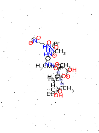 CCC(O)C(C)[C@H]1O[C@@H]1CC(C)/C=C/C=C(\C)[C@H]1OC(=O)C[C@H](O)CC[C@@](C)(OC)[C@@H](OC(=O)N2CC[N+](C)(Cc3ccc(NC(=O)C(C)NC(=O)C(NC(=O)CCCCCN4C(=O)C=CC4=O)C(C)C)cc3)CC2)/C=C/[C@@H]1C